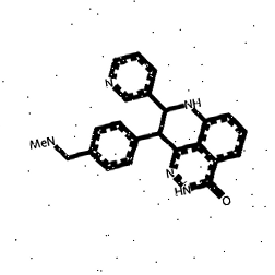 CNCc1ccc(C2c3n[nH]c(=O)c4cccc(c34)NC2c2cccnc2)cc1